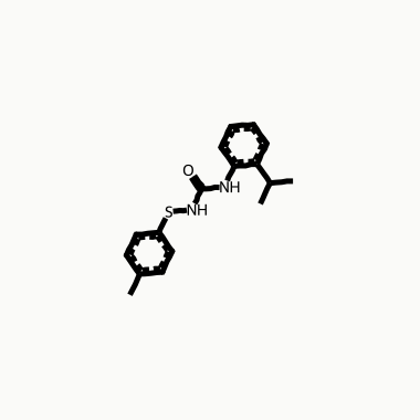 Cc1ccc(SNC(=O)Nc2ccccc2C(C)C)cc1